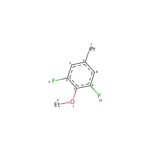 CCOc1c(F)cc(C(C)C)cc1F